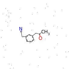 CC(=O)Cc1cccc(CC#N)c1